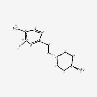 CCCC[C@H]1CC[C@H](CCc2ccc(C#N)c(F)c2)CC1